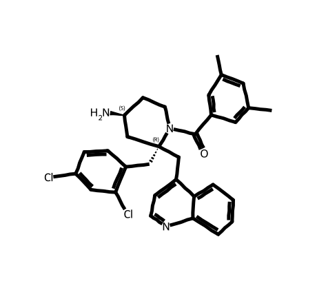 Cc1cc(C)cc(C(=O)N2CC[C@H](N)C[C@]2(Cc2ccc(Cl)cc2Cl)Cc2ccnc3ccccc23)c1